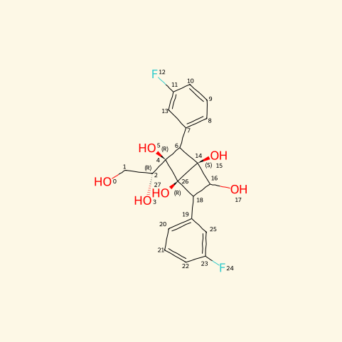 OC[C@@H](O)[C@]1(O)C(c2cccc(F)c2)[C@]2(O)C(O)C(c3cccc(F)c3)[C@@]21O